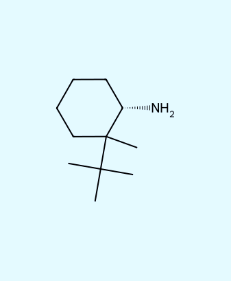 CC(C)(C)C1(C)CCCC[C@@H]1N